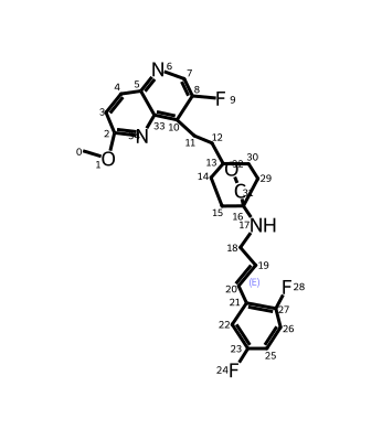 COc1ccc2ncc(F)c(CCC34CCC(NC/C=C/c5cc(F)ccc5F)(CC3)CO4)c2n1